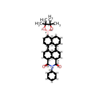 CC1(C)OB(c2ccc3c4ccc5c6c(ccc(c7cccc2c73)c64)C(=O)N(c2ccccc2)C5=O)OC1(C)C